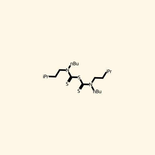 CCCCN(CCC(C)C)C(=S)SC(=S)N(CCCC)CCC(C)C